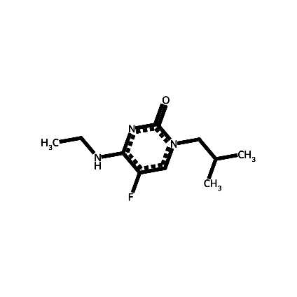 CCNc1nc(=O)n(CC(C)C)cc1F